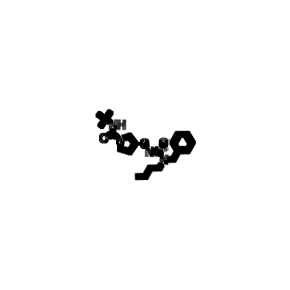 CCCCN(Cc1ccccc1)/[N+]([O-])=N/O[C@@H]1CCN(C(=O)NC(C)(C)C)C1